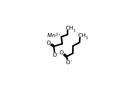 CCCCC(=O)[O-].CCCCC(=O)[O-].[Mn+2]